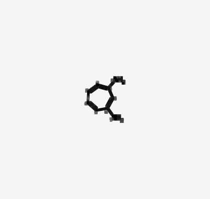 NC1=C=CC=CC(N)=C1